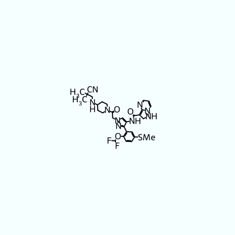 CSc1ccc(OC(F)F)c(-c2nn(CC(=O)N3CCC(NCC(C)(C)C#N)CC3)cc2NC(=O)C2=C3N=CC=CN3NC2)c1